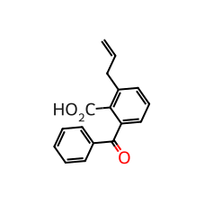 C=CCc1cccc(C(=O)c2ccccc2)c1C(=O)O